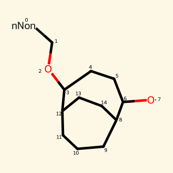 [CH2]CCCCCCCCCOC1CCC([O])C2CCCC1CC2